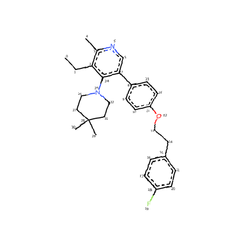 CCc1c(C)ncc(-c2ccc(OCCc3ccc(F)cc3)cc2)c1N1CCC(C)(C)CC1